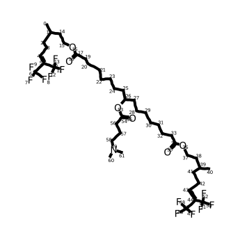 CC(CCC=C(C(F)(F)F)C(F)(F)F)CCOC(=O)CCCCCCCC(CCCCCCCC(=O)OCCC(C)CCC=C(C(F)(F)F)C(F)(F)F)OC(=O)CCCN(C)C